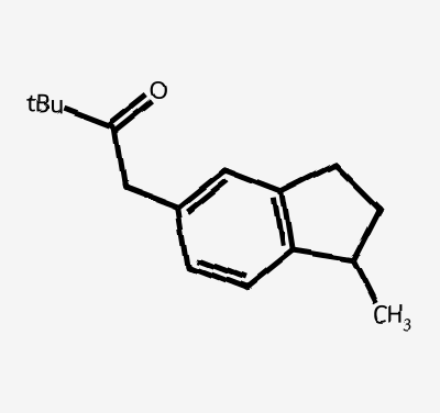 CC1CCc2cc(CC(=O)C(C)(C)C)ccc21